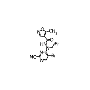 Cc1oncc1C(=O)NN(CC(C)C)c1nc(C#N)ncc1Br